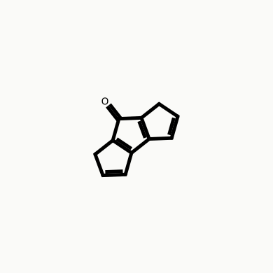 O=C1C2=C(C=CC2)C2=C1CC=C2